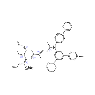 C=C\C=C/C(=C\C)C(/C=C(C)/C(C)=C/C=C(\C)N(c1ccc(C2=CC=CCC2)cc1)c1cc(C2=CC=CCC2)cc(-c2ccc(C)cc2)c1)=C(\CC=C)SC